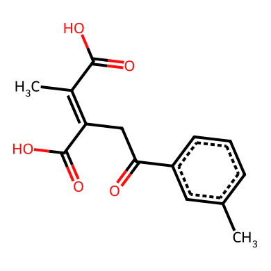 C/C(C(=O)O)=C(/CC(=O)c1cccc(C)c1)C(=O)O